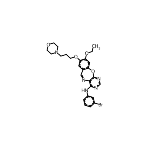 CCOc1cc2c(cc1OCCCN1CCOCC1)C=Nc1c(Nc3cccc(Br)c3)ncnc1O2